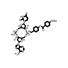 COc1ccc(C(=O)Oc2ccc(CS[P@]3(=O)OC[C@H]4O[C@@H](n5cnc6c(N)ncnc65)[C@H](F)[C@@H]4OP(=O)(O)OC[C@H]4O[C@@H](n5ccc(=O)[nH]c5=O)[C@H](F)[C@@H]4O3)cc2)cc1